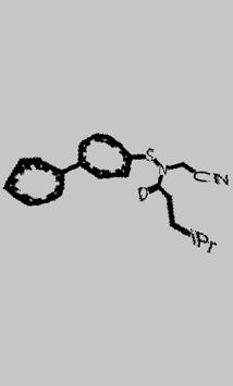 CC(C)CCC(=O)N(CC#N)Sc1ccc(-c2ccccc2)cc1